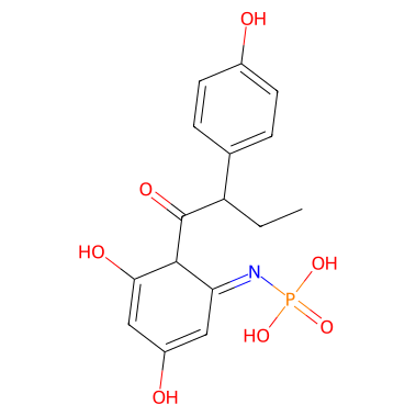 CCC(C(=O)C1C(O)=CC(O)=CC1=NP(=O)(O)O)c1ccc(O)cc1